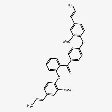 CC=Cc1ccc(Oc2ccc(C(=O)c3ccccc3Oc3ccc(C=CC)cc3OC)cc2)c(OC)c1